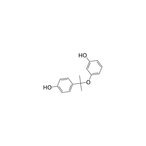 CC(C)(Oc1cccc(O)c1)c1ccc(O)cc1